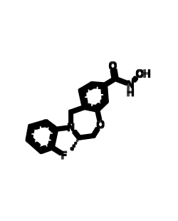 C[C@H]1COc2cc(C(=O)NO)ccc2CN1c1ccccc1F